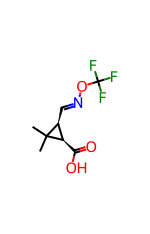 CC1(C)[C@H](C(=O)O)[C@@H]1C=NOC(F)(F)F